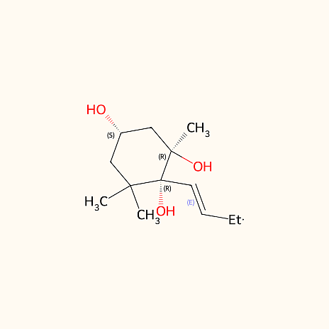 C[CH]/C=C/[C@@]1(O)C(C)(C)C[C@H](O)C[C@@]1(C)O